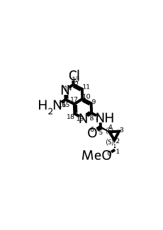 COC[C@H]1C[C@@H]1C(=O)Nc1cc2cc(Cl)nc(N)c2cn1